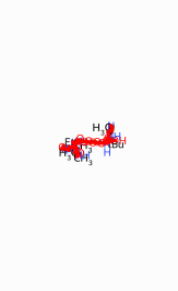 CCN(c1cc(-c2ccc(CN3CCOCC3)cc2)cc(C(=O)NCc2c(C)cc(C)[nH]c2=O)c1C)C1CCN(C(=O)CCOCCOCCOCCOCCOCCC(=O)N[C@@H](C(=O)N2C[C@H](O)C[C@H]2C(=O)NCc2ccc(-c3scnc3C)cc2)C(C)(C)C)CC1